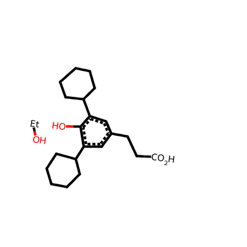 CCO.O=C(O)CCc1cc(C2CCCCC2)c(O)c(C2CCCCC2)c1